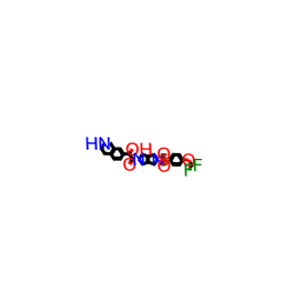 O=C(C(O)c1ccc2c(c1)CNCC2)N1CC2=C(C1)CN(S(=O)(=O)c1ccc(OC(F)F)cc1)C2